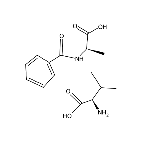 CC(C)[C@@H](N)C(=O)O.C[C@@H](NC(=O)c1ccccc1)C(=O)O